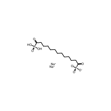 O=C(CCCCCCCCCCCC(=O)P(=O)(O)O)P(=O)([O-])[O-].[Na+].[Na+]